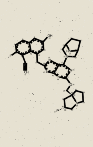 C#Cc1c(F)ccc2cc(O)cc(Cc3nc4c(N5CC6CCC(C5)N6)nc(OC[C@@]56CCCN5C[C@H](F)C6)nc4s3)c12